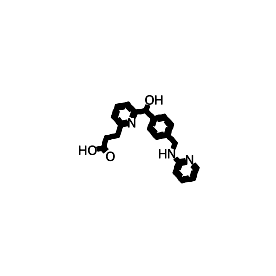 O=C(O)CCc1cccc(C(O)c2ccc(CNc3ccccn3)cc2)n1